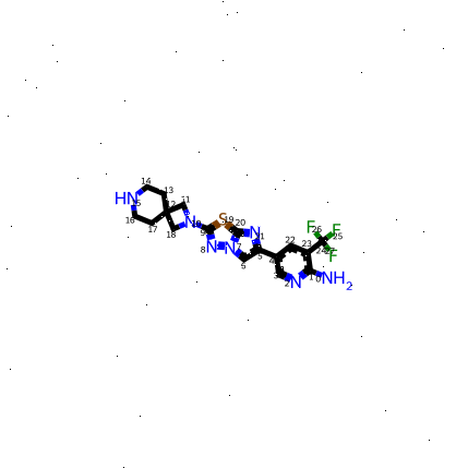 Nc1ncc(-c2cn3nc(N4CC5(CCNCC5)C4)sc3n2)cc1C(F)(F)F